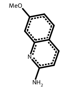 [CH2]Oc1ccc2ccc(N)nc2c1